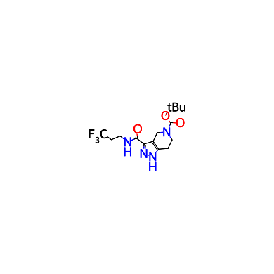 CC(C)(C)OC(=O)N1CCc2[nH]nc(C(=O)NCCC(F)(F)F)c2C1